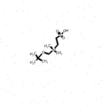 CC(C)(C)OC[N+](C)(C)CCS(=O)(=O)O